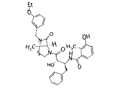 CCOc1cccc(CN2C(=O)[C@H]3N(C(=O)[C@@H](O)[C@H](Cc4ccccc4)NC(=O)c4cccc(O)c4C)CSC32C)c1